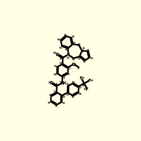 COc1cc(NC(=O)c2ccccc2-c2ccc(C(F)(F)F)cc2)ccc1C(=O)N1Cc2cccn2Cc2ccccc21